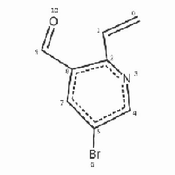 C=Cc1ncc(Br)cc1C=O